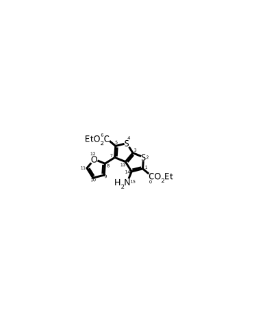 CCOC(=O)c1sc2sc(C(=O)OCC)c(-c3ccco3)c2c1N